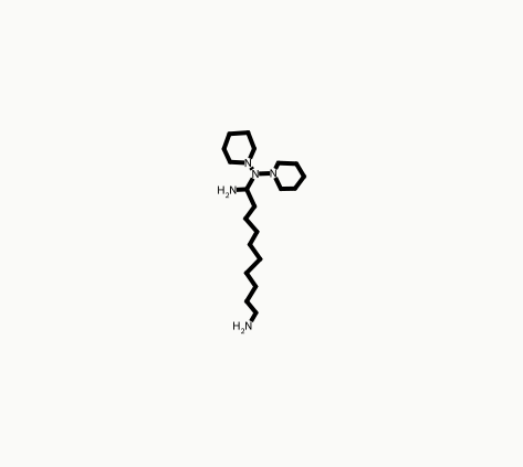 NCCCCCCCCCC(N)N(N1CCCCC1)N1CCCCC1